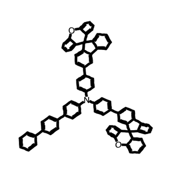 c1ccc(-c2ccc(-c3ccc(N(c4ccc(-c5ccc6c(c5)-c5ccccc5C65c6ccccc6Oc6ccccc65)cc4)c4ccc(-c5ccc6c(c5)C5(c7ccccc7Oc7ccccc75)c5ccccc5-6)cc4)cc3)cc2)cc1